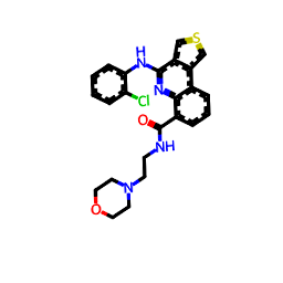 O=C(NCCN1CCOCC1)c1cccc2c1nc(Nc1ccccc1Cl)c1cscc12